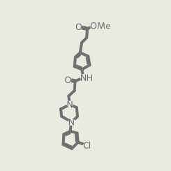 COC(=O)CCc1ccc(NC(=O)CCN2CCN(c3cccc(Cl)c3)CC2)cc1